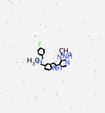 Cc1nc2c(-c3cc4cc(CN(C)Cc5ccc(F)cc5)ccc4[nH]3)ccnc2[nH]1